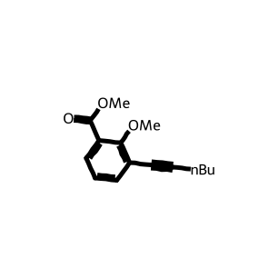 CCCCC#Cc1cccc(C(=O)OC)c1OC